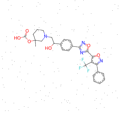 CC1(OC(=O)O)CCCN(CC(O)c2ccc(-c3noc(-c4onc(-c5ccccc5)c4C(F)(F)F)n3)cc2)C1